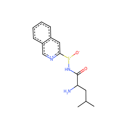 CC(C)CC(N)C(=O)N[S+]([O-])c1cc2ccccc2cn1